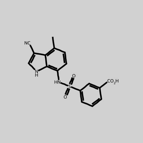 Cc1ccc(NS(=O)(=O)c2cccc(C(=O)O)c2)c2[nH]cc(C#N)c12